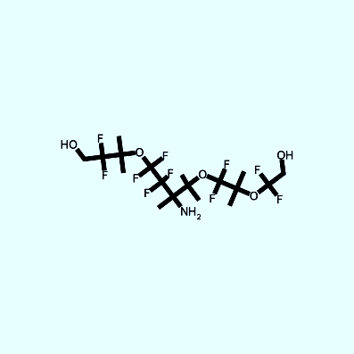 CC(C)(OC(F)(F)C(F)(F)C(C)(N)C(C)(C)OC(F)(F)C(C)(C)OC(F)(F)CO)C(F)(F)CO